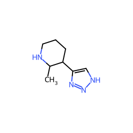 CC1NCCCC1c1c[nH]nn1